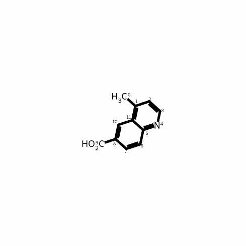 Cc1ccnc2ccc(C(=O)O)cc12